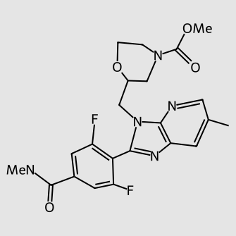 CNC(=O)c1cc(F)c(-c2nc3cc(C)cnc3n2CC2CN(C(=O)OC)CCO2)c(F)c1